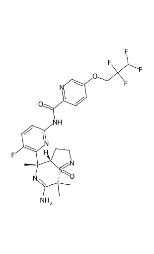 CC1(C)C(N)=N[C@](C)(c2nc(NC(=O)c3ccc(OCC(F)(F)C(F)F)cn3)ccc2F)[C@@H]2CCN=[S@@]21=O